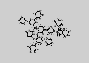 C1=C(c2ccccc2)CC(c2ccccc2)C=C1c1c2ccccc2c(-c2cc(-c3ccccc3)cc(-c3ccccc3)c2)c2cc(-c3ccc(-c4nc5ccccc5n4-c4ccccc4)cc3)ccc12